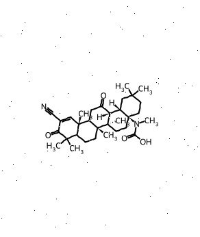 CN(C(=O)O)[C@]12CCC(C)(C)C[C@H]1[C@H]1C(=O)CC3[C@@]4(C)C=C(C#N)C(=O)C(C)(C)C4CC[C@@]3(C)[C@]1(C)CC2